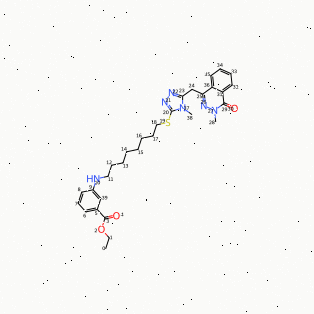 CCOC(=O)c1cccc(NCCCCCCCCSc2nnc(Cc3nn(C)c(=O)c4ccccc34)n2C)c1